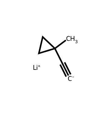 [C-]#CC1(C)CC1.[Li+]